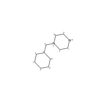 C1CCC(CN2CC[N]CC2)CC1